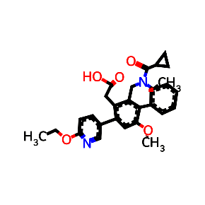 CCOc1ccc(-c2cc(OC)c(-c3ccccc3)c(CN(CC)C(=O)C3CC3)c2CC(=O)O)cn1